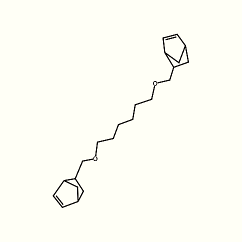 C1=CC2CC1CC2COCCCCCCOCC1CC2C=CC1C2